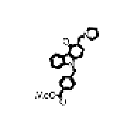 COC(=O)c1ccc(Cn2c3c(c4ccccc42)C(=O)C(CN2CCCC2)CC3)cc1